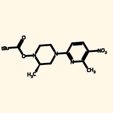 Cc1nc(N2CCN(OC(=O)C(C)(C)C)[C@H](C)C2)ccc1[N+](=O)[O-]